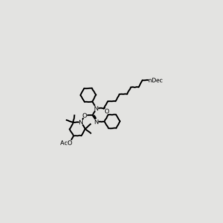 CCCCCCCCCCCCCCCCCC(=O)N(/C(=N\C1CCCCC1)ON1C(C)(C)CC(OC(C)=O)CC1(C)C)C1CCCCC1